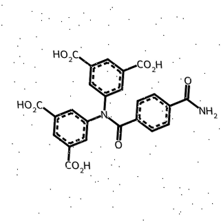 NC(=O)c1ccc(C(=O)N(c2cc(C(=O)O)cc(C(=O)O)c2)c2cc(C(=O)O)cc(C(=O)O)c2)cc1